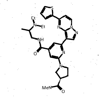 CCN(CC)C(C)CNC(=O)c1cc(-c2cnn3ccc(-c4cccs4)nc23)nc(N2CC[C@@H](C(=O)NC)C2)c1